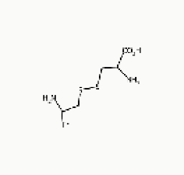 CC(C)C(N)CSSCC(N)C(=O)O